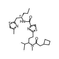 CCC[C@H](Cc1nc(C)cs1)NC(=O)c1csc(CCC(C(C)C)N(C)C(=O)CC2CCC2)n1